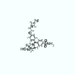 C[C@@H]1Cc2cc(S(N)(=O)=O)ccc2[C@@H](c2ccc(OCCN3CC(CF)C3)cc2)N1CC(F)(F)CO